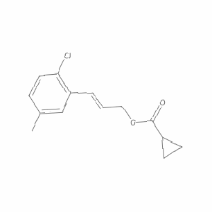 Cc1ccc(Cl)c(C=CCOC(=O)C2CC2)c1